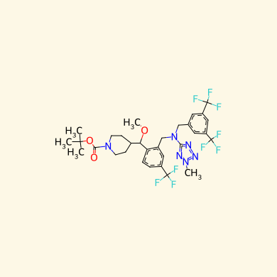 COC(c1ccc(C(F)(F)F)cc1CN(Cc1cc(C(F)(F)F)cc(C(F)(F)F)c1)c1nnn(C)n1)C1CCN(C(=O)OC(C)(C)C)CC1